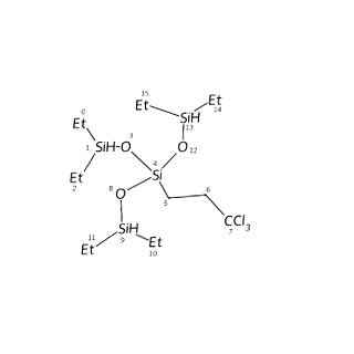 CC[SiH](CC)O[Si](CCC(Cl)(Cl)Cl)(O[SiH](CC)CC)O[SiH](CC)CC